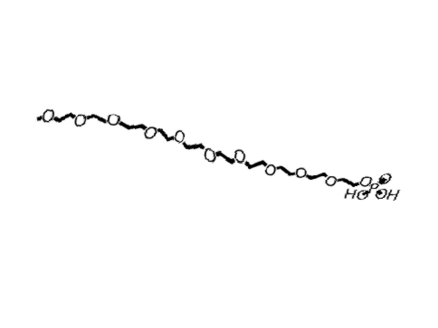 COCCOCCOCCOCCOCCOCCOCCOCCOCCOCCOP(=O)(O)O